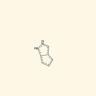 c1cc2c[nH][nH]c-2c1